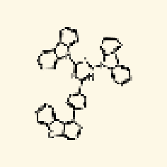 c1ccc2c(c1)oc1cccc(-c3ccc(-c4nc(-n5c6ccccc6c6ccccc65)nc(-n5c6ccccc6c6ccccc65)n4)cc3)c12